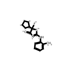 Cc1ccccc1NC1=NC(=O)C(F)(C2CCCC2)S1